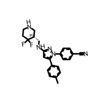 Cc1ccc(-c2cc(NC[C@H]3CNCCC3(F)F)nn2-c2ccc(C#N)cc2)cc1